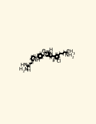 C[C@H](N)CCCc1cc(Cl)c(F)c(-c2cc3cn(-c4ccc([C@H]5CCC[C@H](CCNC(=N)N)N5)cc4)c(=O)nc3[nH]2)c1